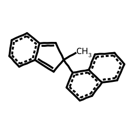 CC1(c2cccc3ccccc23)C=c2ccccc2=C1